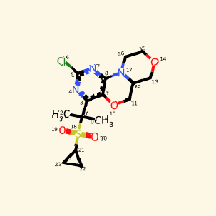 CC(C)(c1nc(Cl)nc2c1OCC1COCCN21)S(=O)(=O)C1CC1